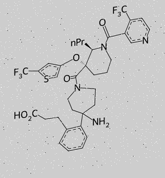 CCC[C@H]1N(C(=O)c2cnccc2C(F)(F)F)CCC[C@@]1(Oc1csc(C(F)(F)F)c1)C(=O)N1CCC(N)(c2ccccc2CCC(=O)O)CC1